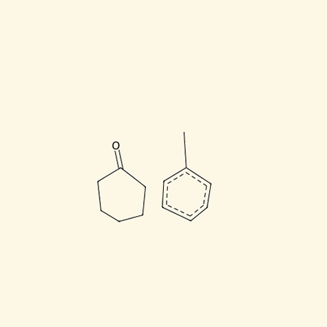 Cc1ccccc1.O=C1CCCCC1